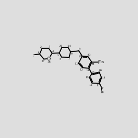 CC1CCC(C2CCC(Cc3ccc(-c4ccc(F)cc4)c(F)c3)CC2)OC1